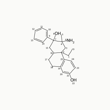 CCC12CC(C)(N)C(O)(c3ccccc3)CC1CCc1cc(O)ccc12